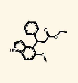 CCOC(=O)CC(c1ccccc1)c1c(OC)ccc2[nH]ccc12